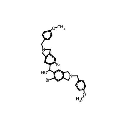 COc1ccc(CN2Cc3cc(Br)c(C(O)c4cc5c(cc4Br)CN(Cc4ccc(OC)cc4)C5)cc3C2)cc1